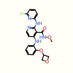 CONC(=O)c1c(Nc2ccccc2OC2COC2)ccnc1Nc1cccc(F)n1